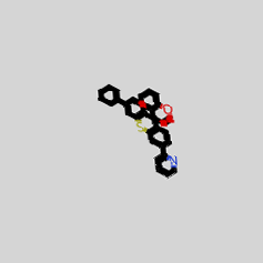 c1ccc(-c2ccc3c(c2)Sc2cc(-c4ccccn4)ccc2C32c3ccccc3Oc3ccccc32)cc1